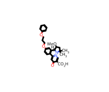 COC1CC(C)(C)N2[C@@H]1c1cc(OCCCOc3ccccc3)ccc1-c1cc(=O)c(C(=O)O)cn12